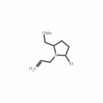 C=CCN1C(CC)CCC1COC